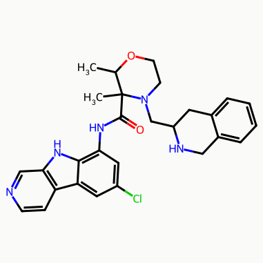 CC1OCCN(CC2Cc3ccccc3CN2)C1(C)C(=O)Nc1cc(Cl)cc2c1[nH]c1cnccc12